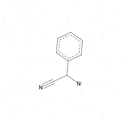 [N]C(C#N)c1ccccc1